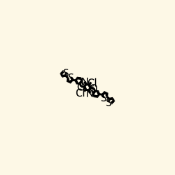 Clc1c2c(c(Cl)c3c1=Nc1ccc(-c4ccc(-c5cccs5)s4)cc1O3)=Nc1ccc(-c3ccc(-c4cccs4)s3)cc1O2